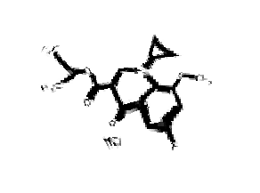 COc1cc(F)cc2c(=O)c(C(=O)OC(C)C)cn(C3CC3)c12.Cl